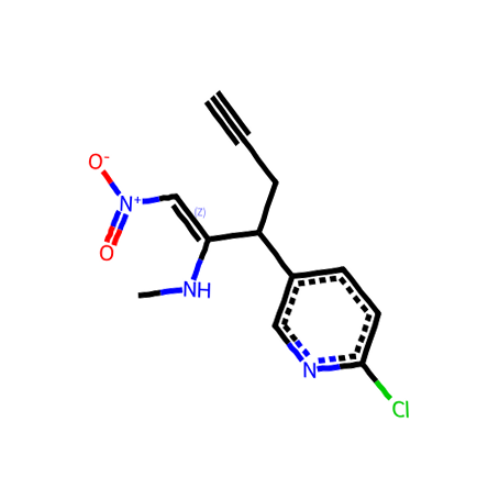 C#CCC(/C(=C/[N+](=O)[O-])NC)c1ccc(Cl)nc1